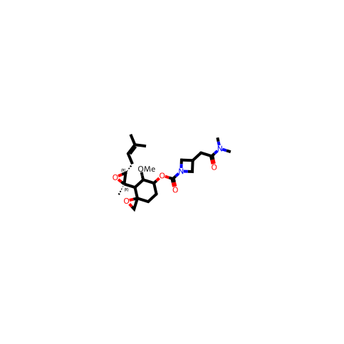 COC1C(OC(=O)N2CC(CC(=O)N(C)C)C2)CCC2(CO2)C1[C@@]1(C)O[C@@H]1CC=C(C)C